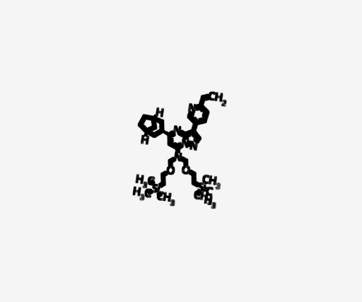 C=Cc1ccc(-c2cnn3c(N(COCC[Si](C)(C)C)COCC[Si](C)(C)C)cc([C@H]4C[C@@H]5CC[C@@H](C5)C4)nc23)cn1